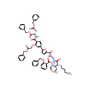 CCCCC[C@@H](C(=O)NCNC(=O)c1ccc(-c2ccc(C(=O)N[C@@H](CC(=O)OCc3ccccc3)C(=O)OCc3ccccc3)c(OCC(=O)OCc3ccccc3)c2)o1)[C@@H](CC)N(C=O)OC(=O)c1ccccc1OCc1ccccc1